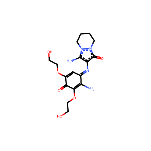 NC1=C(OCCO)C(=O)C(OCCO)=C/C1=N\c1c(N)n2n(c1=O)CCCC2